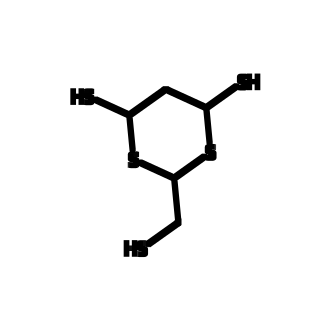 SCC1SC(S)CC(S)S1